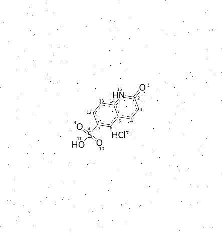 Cl.O=c1ccc2cc(S(=O)(=O)O)ccc2[nH]1